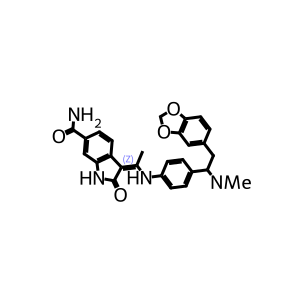 CNC(Cc1ccc2c(c1)OCO2)c1ccc(N/C(C)=C2\C(=O)Nc3cc(C(N)=O)ccc32)cc1